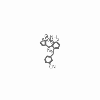 COc1cccc2c1c(-c1ccsc1S(N)(=O)=O)nn2Cc1cccc(C#N)c1